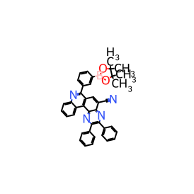 CC1(C)OB(c2cccc(-c3nc4ccccc4c4c3cc(C#N)c3nc(-c5ccccc5)c(-c5ccccc5)nc34)c2)OC1(C)C